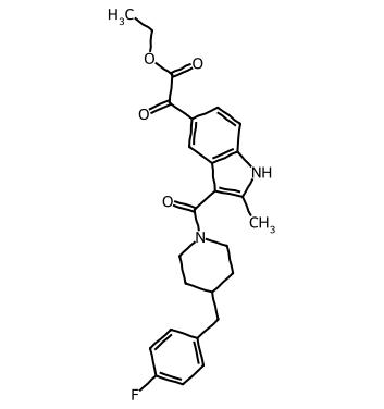 CCOC(=O)C(=O)c1ccc2[nH]c(C)c(C(=O)N3CCC(Cc4ccc(F)cc4)CC3)c2c1